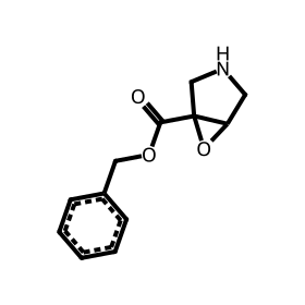 O=C(OCc1ccccc1)C12CNCC1O2